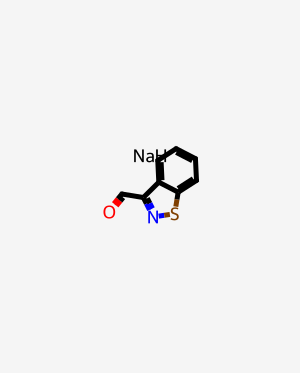 O=Cc1nsc2ccccc12.[NaH]